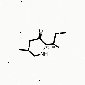 CC[C@@H](C)[C@@H]1NCC(C)CC1=O